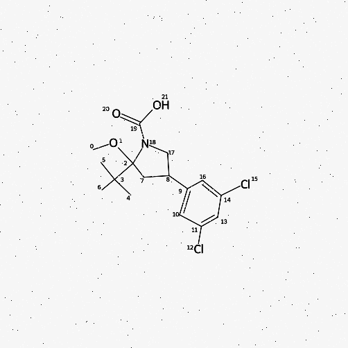 COC1(C(C)(C)C)CC(c2cc(Cl)cc(Cl)c2)CN1C(=O)O